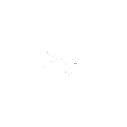 CC1(C)c2ccccc2N(Cc2ccc(F)cc2F)C12C=Cc1cc([N+](=O)[O-])cc(CO)c1O2